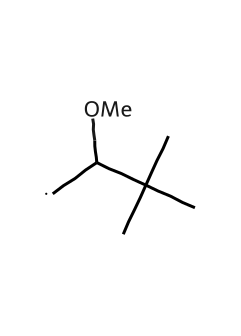 [CH2]C(OC)C(C)(C)C